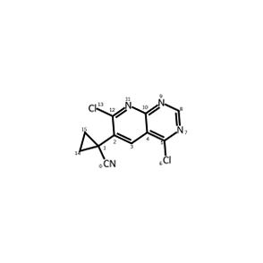 N#CC1(c2cc3c(Cl)ncnc3nc2Cl)CC1